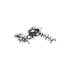 CCCCCCCCCCOc1ccc(C(=O)Oc2cc(C(=O)O)ccc2N)cc1C12CC3CC(CC(C3)C1)C2